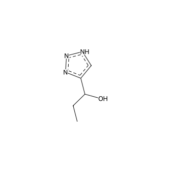 CCC(O)c1c[nH]nn1